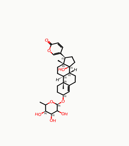 CC1O[C@@H](O[C@@H]2C=C3CC[C@@H]4[C@H](CC[C@]5(C)[C@@H](c6ccc(=O)oc6)CC[C@]45O)[C@@]3(C)CC2)C(O)[C@@H](O)[C@H]1O